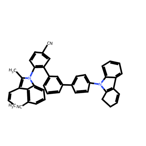 C/C=C\c1c(C)n(-c2ccc(C#N)cc2-c2cccc(-c3ccc(-n4c5c(c6ccccc64)C=CCC5)cc3)c2)c2cccc(C#N)c12